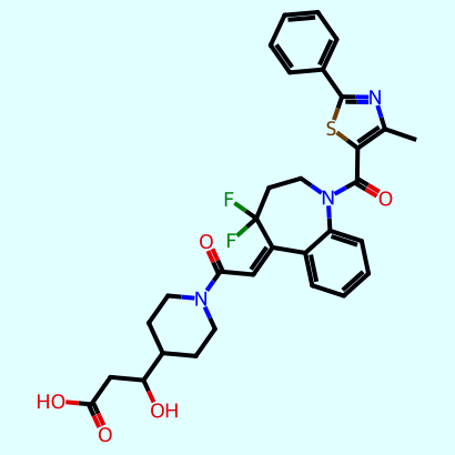 Cc1nc(-c2ccccc2)sc1C(=O)N1CCC(F)(F)C(=CC(=O)N2CCC(C(O)CC(=O)O)CC2)c2ccccc21